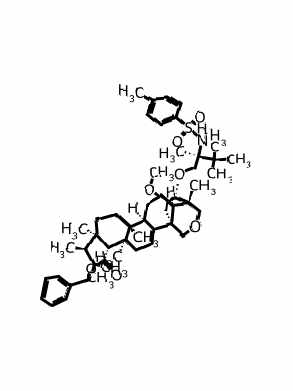 CO[C@@H]1C[C@@]23COC[C@](C)([C@@H]2CC[C@H]2C3=CC[C@@]3(C)[C@H](C(=O)OCc4ccccc4)[C@@](C)([C@H](C)C(C)C)CC[C@]23C)[C@H]1OC[C@@](C)(NS(=O)(=O)c1ccc(C)cc1)C(C)(C)C